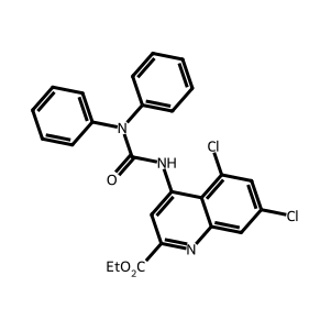 CCOC(=O)c1cc(NC(=O)N(c2ccccc2)c2ccccc2)c2c(Cl)cc(Cl)cc2n1